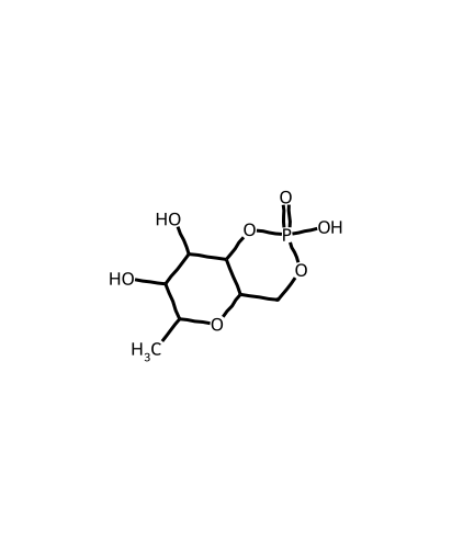 CC1OC2COP(=O)(O)OC2C(O)C1O